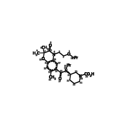 CCCOCCN1C(=O)C(C)(C)Oc2cc(C)c(C(=O)N(C(C)C)[C@@H]3CCCN(C(=O)O)C3)cc21